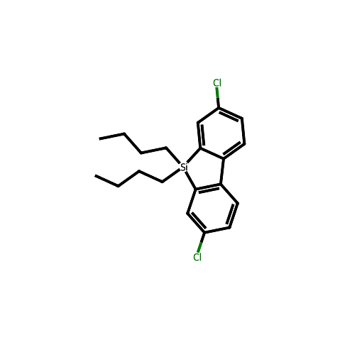 CCCC[Si]1(CCCC)c2cc(Cl)ccc2-c2ccc(Cl)cc21